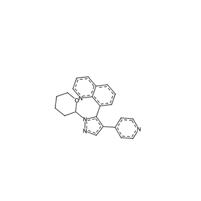 c1cnc2c(-c3c(-c4ccncc4)cnn3C3CCCCO3)cccc2c1